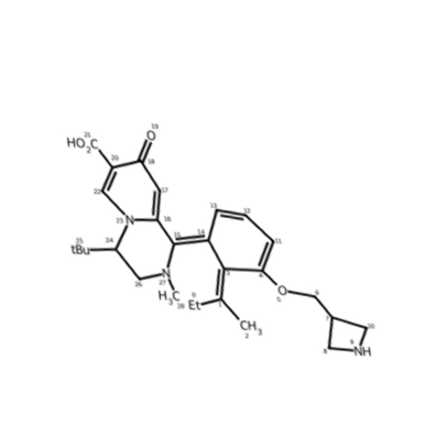 CC/C(C)=c1/c(OCC2CNC2)ccc/c1=C1\c2cc(=O)c(C(=O)O)cn2C(C(C)(C)C)CN1C